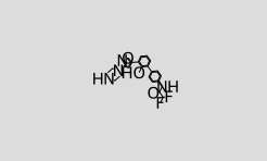 O=C(Nc1ccc(-c2cccc(-c3cc(N4CCNCC4)no3)c2O)cc1)C(F)F